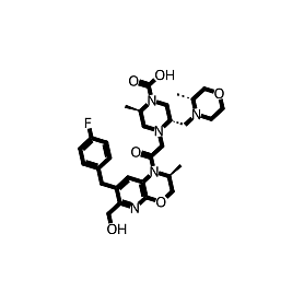 C[C@@H]1COCCN1C[C@H]1CN(C(=O)O)[C@H](C)CN1CC(=O)N1c2cc(Cc3ccc(F)cc3)c(CO)nc2OC[C@@H]1C